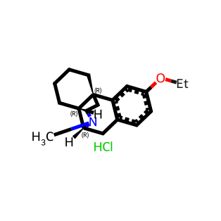 CCOc1ccc2c(c1)[C@@]13CCCC[C@H]1[C@@H](C2)N(C)CC3.Cl